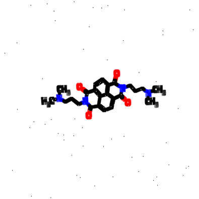 CN(C)CCCN1C(=O)c2ccc3c4c(ccc(c24)C1=O)C(=O)N(CCCN(C)C)C3=O